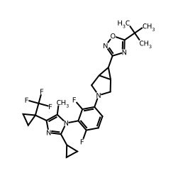 Cc1c(C2(C(F)(F)F)CC2)nc(C2CC2)n1-c1c(F)ccc(N2CC3C(C2)C3c2noc(C(C)(C)C)n2)c1F